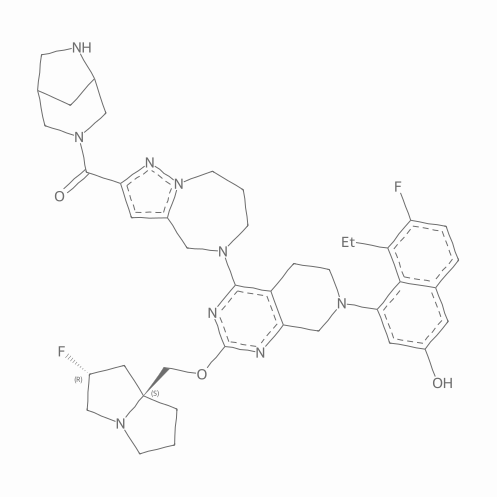 CCc1c(F)ccc2cc(O)cc(N3CCc4c(nc(OC[C@@]56CCCN5C[C@H](F)C6)nc4N4CCCn5nc(C(=O)N6CC7CNC(C7)C6)cc5C4)C3)c12